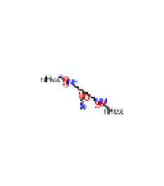 CCCCCC/C=C\COC(=O)NCCCCCCC(CCCCCCNC(=O)OC/C=C\CCCCCC)OC(=O)CCCN(C)C